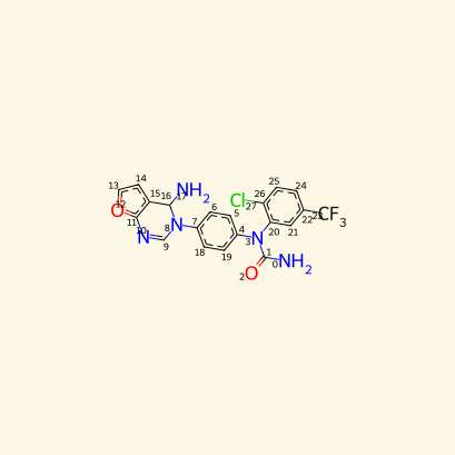 NC(=O)N(c1ccc(N2C=Nc3occc3C2N)cc1)c1cc(C(F)(F)F)ccc1Cl